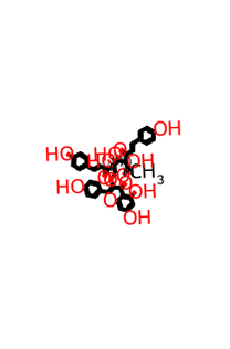 C[C@H]1OC(Oc2c(-c3ccc(O)cc3)oc3cc(O)cc(O)c3c2=O)[C@](O)(C(=O)C=Cc2ccc(O)cc2)[C@@H](O)[C@@]1(O)C(=O)C=Cc1ccc(O)cc1